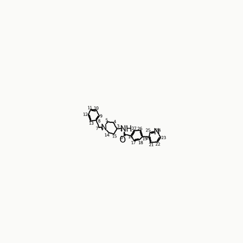 O=C(NC1CCN(Cc2ccccc2)CC1)c1ccc(-c2cccnc2)cc1